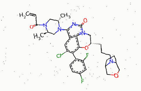 C=CC(=O)N1C[C@H](C)N(c2nc(=O)n3c4c(c(-c5ccc(F)cc5F)c(Cl)cc24)O[C@@H](CCCN2C4CCC2COC4)C3)C[C@H]1C